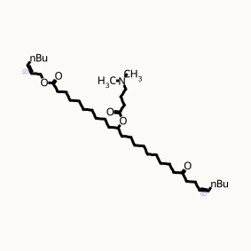 CCCC/C=C\CCC(=O)CCCCCCCCCC(CCCCCCCCCC(=O)OC/C=C\CCCC)OC(=O)CCCN(C)C